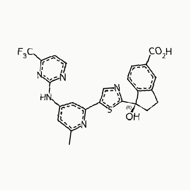 Cc1cc(Nc2nccc(C(F)(F)F)n2)cc(-c2cnc([C@@]3(O)CCc4cc(C(=O)O)ccc43)s2)n1